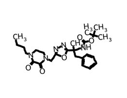 CCCCN1CCN(Cc2nnc(C(C)(Cc3ccccc3)NC(=O)OC(C)(C)C)o2)C(=O)C1=O